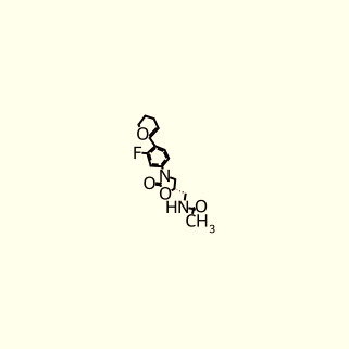 CC(=O)NC[C@H]1CN(c2ccc(C3=CCCCO3)c(F)c2)C(=O)O1